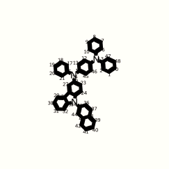 c1ccc(N(c2ccccc2)c2ccc(N(c3ccccc3)c3ccc4c(c3)c3ccccc3n4-c3ccc4ccccc4c3)cc2)cc1